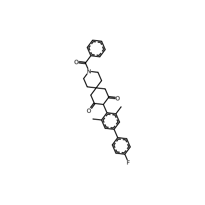 Cc1cc(-c2ccc(F)cc2)cc(C)c1C1C(=O)CC2(CCN(C(=O)c3ccccc3)CC2)CC1=O